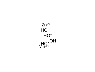 [Mn+2].[OH-].[OH-].[OH-].[OH-].[Zn+2]